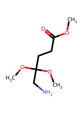 COC(=O)CCC(CN)(OC)OC